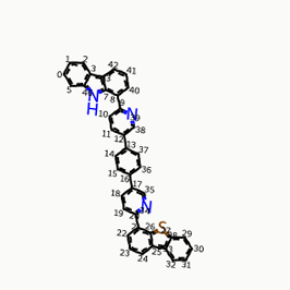 c1ccc2c(c1)[nH]c1c(-c3ccc(-c4ccc(-c5ccc(-c6cccc7c6sc6ccccc67)nc5)cc4)cn3)cccc12